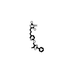 Cc1oc(-c2ccccc2)nc1COc1ccc(CCCC2SC(=O)NC2=O)cn1